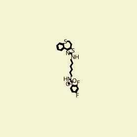 O=S(=O)(NCCCCCCNc1nc2c(s1)CCSc1ccccc1-2)c1ccc(F)cc1F